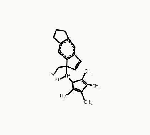 C[CH2][Hf]([CH]1C(C)=C(C)C(C)=C1C)[C]1(CC(C)C)C=Cc2cc3c(cc21)CCC3